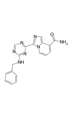 NC(=O)c1cccn2c(-c3ncnc(NCc4ccccc4)n3)ncc12